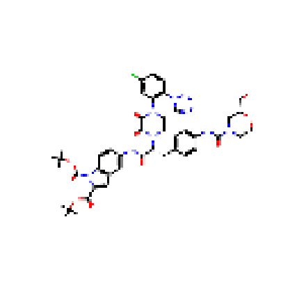 CC(C)(C)OC(=O)c1cc2cc(NC(=O)[C@H](Cc3ccc(NC(=O)N4CCO[C@H](CO)C4)cc3)N3CCN(c4cc(Cl)ccc4-n4cnnn4)C(=O)C3=O)ccc2n1C(=O)OC(C)(C)C